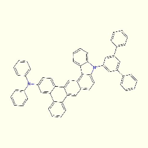 c1ccc(-c2cc(-c3ccccc3)cc(-n3c4ccccc4c4c5cc6c7ccc(N(c8ccccc8)c8ccccc8)cc7c7ccccc7c6cc5ccc43)c2)cc1